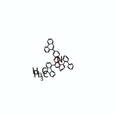 CC1(C)c2ccccc2-c2c(-c3cccc(N(c4ccc(-c5cc6ccccc6c6ccccc56)cc4)c4cccc(-c5ccccc5)c4-c4ccccc4-c4ccccc4)c3)cccc21